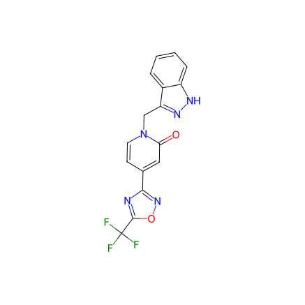 O=c1cc(-c2noc(C(F)(F)F)n2)ccn1Cc1n[nH]c2ccccc12